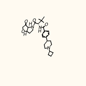 CC(C)(C)[C@H](NC(=O)c1ccc(C2CCN(C3CCC3)CC2)cc1)C(=O)N1CC[C@H]2OCC(=O)[C@H]21